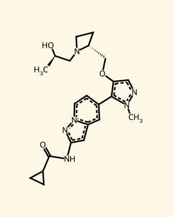 C[C@@H](O)CN1CC[C@@H]1COc1cnn(C)c1-c1ccn2nc(NC(=O)C3CC3)cc2c1